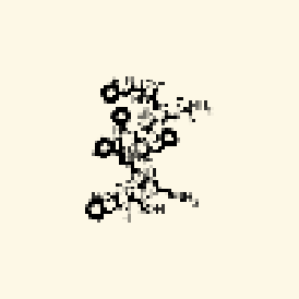 C[C@@H](O)[C@H](NC(=O)[C@H](CCCCN)NC(=O)[C@@H](Cc1c[nH]c2ccccc12)NC(=O)[C@H](Cc1ccccc1)NC(=O)[C@H](Cc1ccccc1)NC(=O)[C@H](CCCNC(=N)N)NC(=O)[C@H](CS)NC(=O)[C@H](N)Cc1ccccc1)C(=O)N[C@@H](Cc1ccccc1)C(=O)O